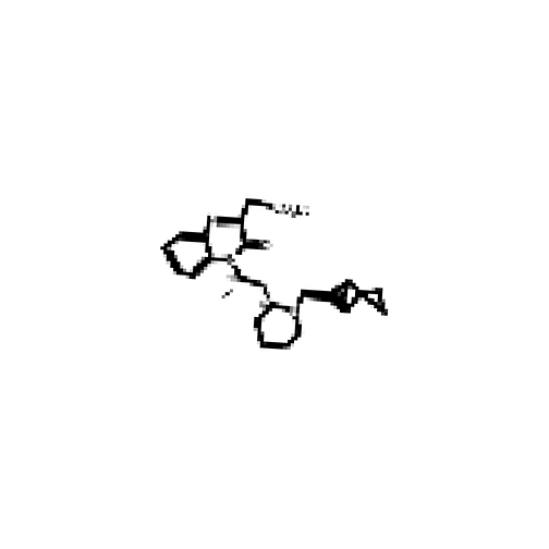 CCOC(=O)Cc1nc2ccccc2n([C@@H](C)C[C@@H]2CCCCN2C=C2C3CC2C32CC2)c1=O